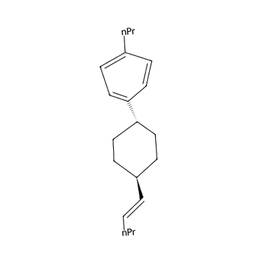 CCCC=C[C@H]1CC[C@H](c2ccc(CCC)cc2)CC1